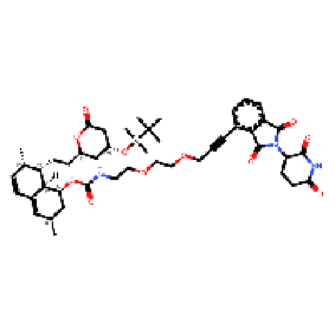 C[C@H]1C=C2C=C[C@H](C)[C@H](CC[C@@H]3C[C@@H](O[Si](C)(C)C(C)(C)C)CC(=O)O3)[C@H]2[C@@H](OC(=O)NCCOCCOCC#Cc2cccc3c2C(=O)N(C2CCC(=O)NC2=O)C3=O)C1